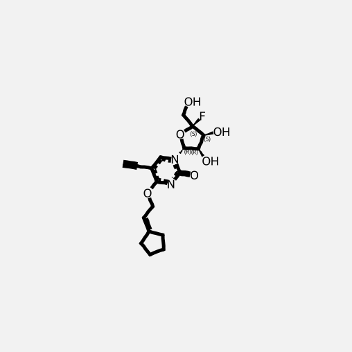 C#Cc1cn([C@@H]2O[C@](F)(CO)[C@@H](O)[C@H]2O)c(=O)nc1OCC=C1CCCC1